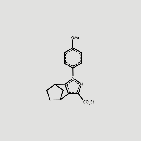 CCOC(=O)c1nn(-c2ccc(OC)cc2)c2c1C1CCC2C1